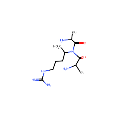 CCC(C)C(N)C(=O)N(C(=O)C(N)C(C)CC)C(CCCNC(=N)N)C(=O)O